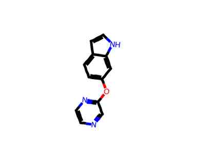 c1cnc(Oc2ccc3cc[nH]c3c2)cn1